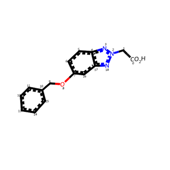 O=C(O)Cn1nc2ccc(OCc3ccccc3)cc2n1